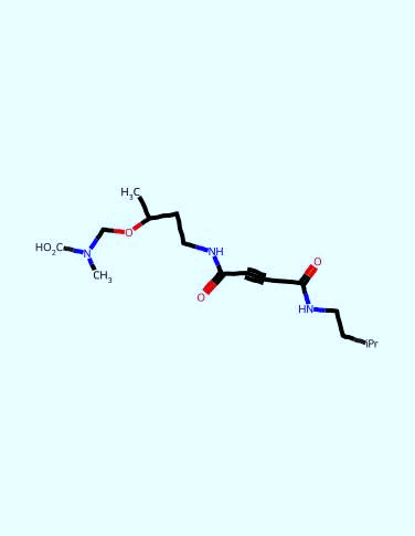 CC(C)CCNC(=O)C#CC(=O)NCCC(C)OCN(C)C(=O)O